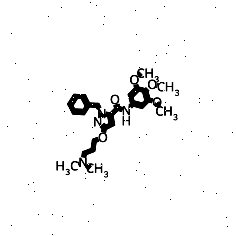 COc1cc(NC(=O)c2cc(OCCCN(C)C)nn2Cc2ccccc2)cc(OC)c1OC